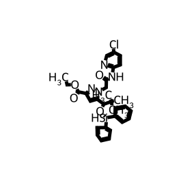 CCOC(=O)c1cc(C(O[SiH](c2ccccc2)c2ccccc2)C(C)(C)C)n(CC(=O)Nc2ccc(Cl)cn2)n1